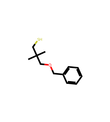 CC(C)(CS)COCc1ccccc1